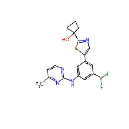 OC1(c2ncc(-c3cc(Nc4nccc(C(F)(F)F)n4)cc(C(F)F)c3)s2)CCC1